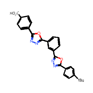 CC(C)(C)c1ccc(-c2nnc(-c3cccc(-c4nnc(-c5ccc(C(=O)O)cc5)o4)c3)o2)cc1